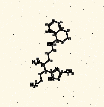 CCCC(c1nc(C)c[nH]1)C(N)CCCNC1CCCc2cccnc21